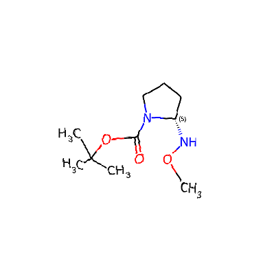 CON[C@H]1CCCN1C(=O)OC(C)(C)C